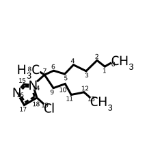 CCCCCCCC(C)(CCCCC)n1cncc1Cl